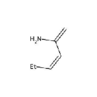 C=C(N)/C=C\CC